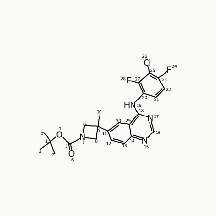 CC(C)(C)OC(=O)N1CC(C)(c2ccc3ncnc(Nc4ccc(F)c(Cl)c4F)c3c2)C1